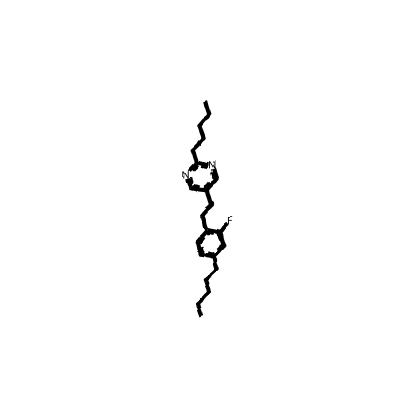 CCCCCc1ccc(CCc2cnc(CCCCC)nc2)c(F)c1